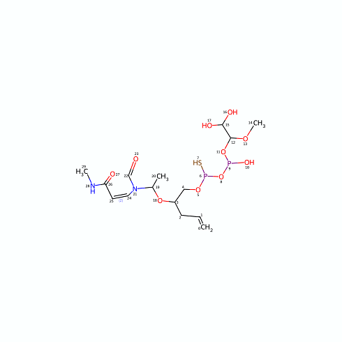 C=CCC(COP(S)OP(O)OC(OC)C(O)O)OC(C)N(C=O)/C=C\C(=O)NC